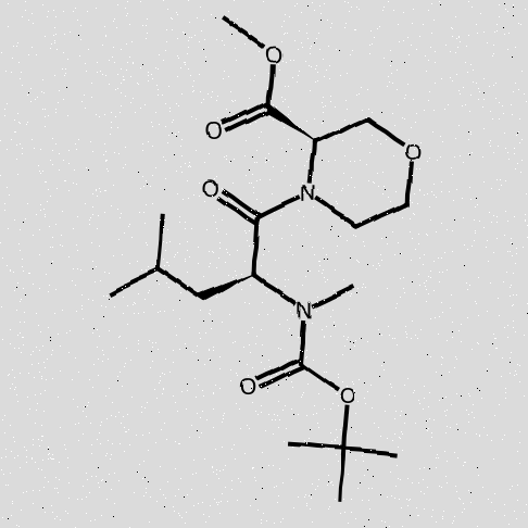 COC(=O)[C@H]1COCCN1C(=O)[C@H](CC(C)C)N(C)C(=O)OC(C)(C)C